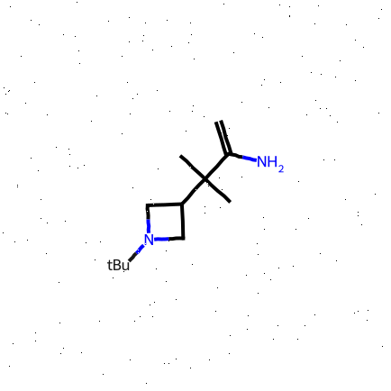 C=C(N)C(C)(C)C1CN(C(C)(C)C)C1